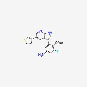 COc1c(F)cc(N)cc1-c1c[nH]c2ncc(-c3ccsc3)cc12